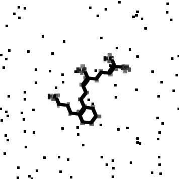 CCCCC1=C(CCC=C(C)CCC=C(C)C)CCCC1